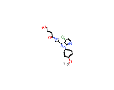 O=C(/C=C/CO)N1CC(c2nn(-c3ccc(OC(F)(F)F)cc3)c3nccc(Cl)c23)C1